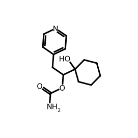 NC(=O)OC(Cc1ccncc1)C1(O)CCCCC1